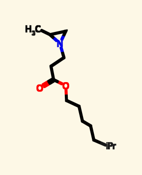 CC(C)CCCCCOC(=O)CCN1CC1C